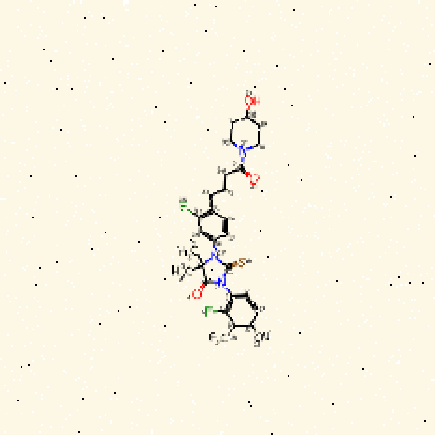 CC1(C)C(=O)N(C2=C(F)C(C(F)(F)F)C(C#N)C=C2)C(=S)N1c1ccc(CCCC(=O)N2CCC(O)CC2)c(F)c1